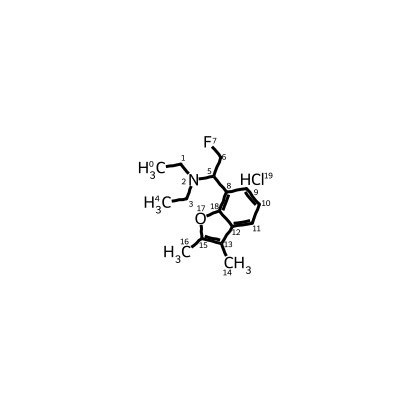 CCN(CC)C(CF)c1cccc2c(C)c(C)oc12.Cl